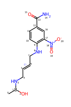 CB(O)NC/C=C/CNc1ccc(C(N)=O)cc1[N+](=O)[O-]